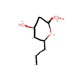 CCCC1C[C@@H](O)CC(O)O1